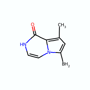 Bc1cc(C)c2c(=O)[nH]ccn12